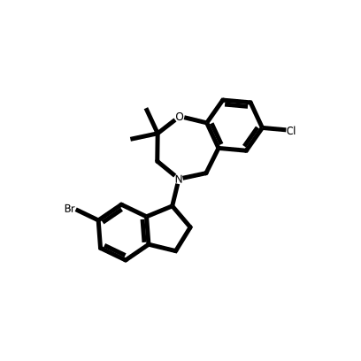 CC1(C)CN(C2CCc3ccc(Br)cc32)Cc2cc(Cl)ccc2O1